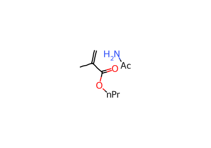 C=C(C)C(=O)OCCC.CC(N)=O